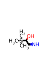 C[Si](C)(C)C(O)C=N